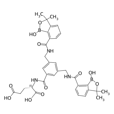 CC1(C)OB(O)c2c(C(=O)NCc3cc(CNC(=O)c4cccc5c4B(O)OC5(C)C)cc(C(=O)N[C@@H](CCC(=O)O)C(=O)O)c3)cccc21